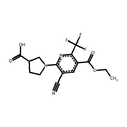 CCOC(=O)c1cc(C#N)c(N2CCC(C(=O)O)C2)nc1C(F)(F)F